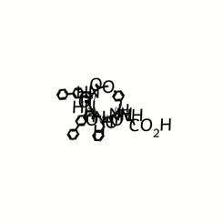 O=C(O)CCNC(=O)[C@@H]1Cc2ccc(cc2)OCC(=O)N[C@@H](Cc2ccc(-c3ccccc3)cc2)C(=O)N[C@H](Cc2ccc(-c3ccccc3)cc2)C(=O)N[C@@H](CCc2ccccc2)C(=O)N1